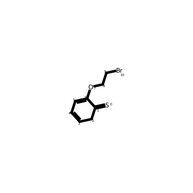 S=C1CC=CC=C1OCCBr